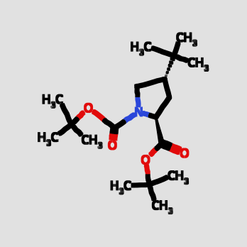 CC(C)(C)OC(=O)[C@@H]1C[C@@H](C(C)(C)C)CN1C(=O)OC(C)(C)C